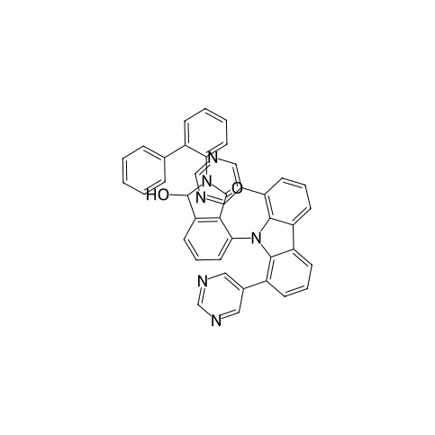 O=C1c2c(cccc2-n2c3c(-c4cncnc4)cccc3c3cccc(-c4cncnc4)c32)C(O)N1c1ccccc1-c1ccccc1